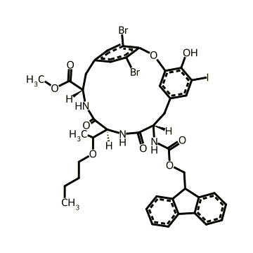 CCCCOC(C)[C@@H]1NC(=O)[C@@H](NC(=O)OCC2c3ccccc3-c3ccccc32)Cc2cc(I)c(O)c(c2)Oc2c(Br)cc(cc2Br)C[C@@H](C(=O)OC)NC1=O